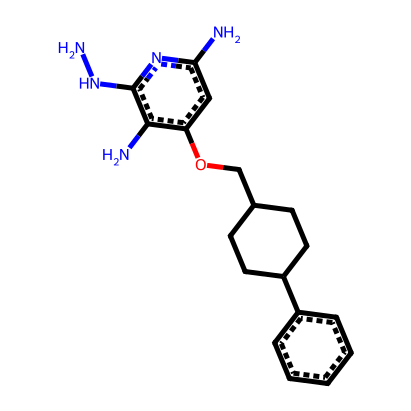 NNc1nc(N)cc(OCC2CCC(c3ccccc3)CC2)c1N